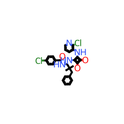 CC(C)(Cc1ccccc1)C(NC(=O)c1ccc(Cl)cc1)Nc1c(Nc2cccnc2Cl)c(=O)c1=O